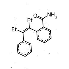 CCC(=C(CC)c1ccccc1C(N)=O)c1ccccc1